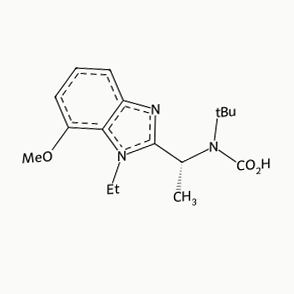 CCn1c([C@@H](C)N(C(=O)O)C(C)(C)C)nc2cccc(OC)c21